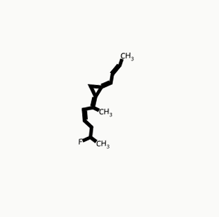 C/C=C/C=C1\C\C1=C(C)/C=C\CC(C)F